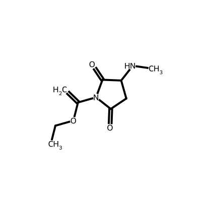 C=C(OCC)N1C(=O)CC(NC)C1=O